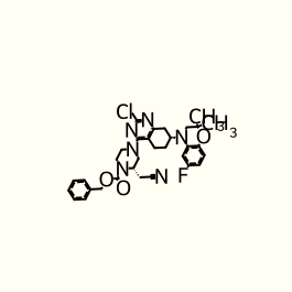 CC1(C)CN([C@H]2CCc3c(nc(Cl)nc3N3CCN(C(=O)OCc4ccccc4)[C@@H](CC#N)C3)C2)c2cc(F)ccc2O1